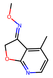 CON=C1COc2nccc(C)c21